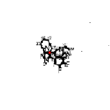 Cn1nc2c(c1-c1cc(F)c(F)c(F)c1)CC1CCCC2N1C(=O)c1ccc2nccn2c1